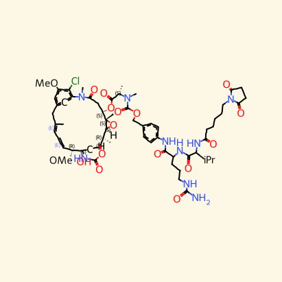 COc1cc2cc(c1Cl)N(C)C(=O)C[C@H](OC(=O)[C@H](C)N(C)C(=O)OCc1ccc(NC(=O)C(CCCNC(N)=O)NC(=O)C(NC(=O)CCCCCN3C(=O)CCC3=O)C(C)C)cc1)[C@]1(C)O[C@H]1[C@H](C)[C@@H]1C[C@@](O)(NC(=O)O1)[C@H](OC)/C=C/C=C(\C)C2